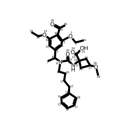 CCOc1cc(C(C)N(CCCCc2ccccc2)C(=O)NC2(C(=O)O)CC(OC)C2)cc(OCC)c1C(C)=O